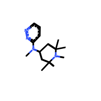 CN(c1cccnn1)C1CC(C)(C)N(C)C(C)(C)C1